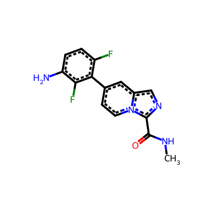 CNC(=O)c1ncc2cc(-c3c(F)ccc(N)c3F)ccn12